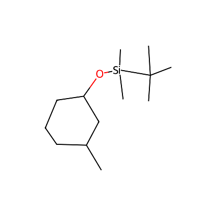 CC1CCCC(O[Si](C)(C)C(C)(C)C)C1